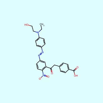 CCN(CCO)c1ccc(/N=N/c2ccc([N+](=O)[O-])c(C(=O)Cc3ccc(C(=O)O)cc3)c2)cc1